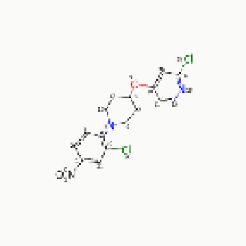 O=[N+]([O-])c1ccc(N2CCC(Oc3ccnc(Cl)c3)CC2)c(Cl)c1